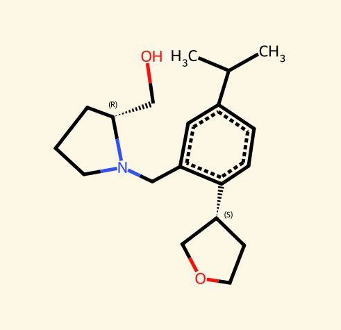 CC(C)c1ccc([C@@H]2CCOC2)c(CN2CCC[C@@H]2CO)c1